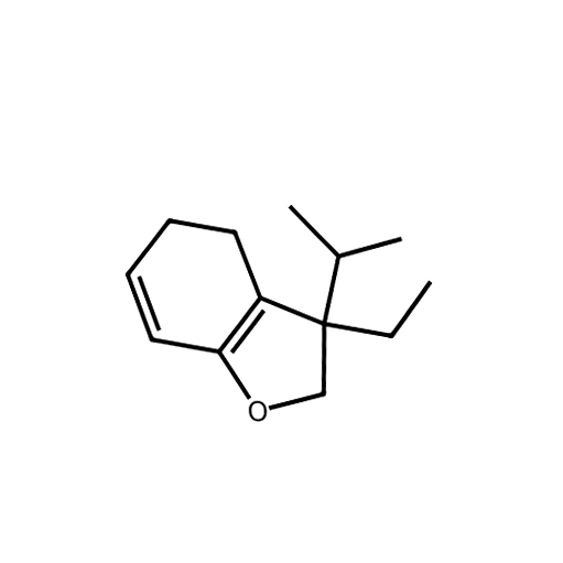 CCC1(C(C)C)COC2=C1CCC=C2